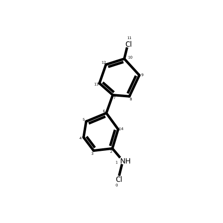 ClNc1cccc(-c2ccc(Cl)cc2)c1